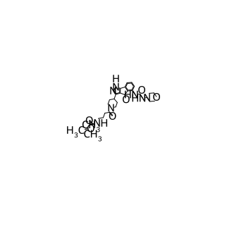 CC(C)(C)OC(=O)NCCCC(=O)N1CCC(c2n[nH]c3c2C(=O)c2c(NC(=O)NN4CCOCC4)cccc2-3)CC1